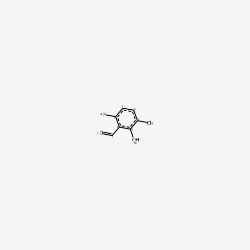 O=Cc1c(F)ccc(Cl)c1O